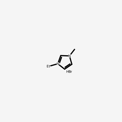 Br.CC[n+]1ccn(C)c1